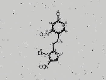 CCn1c([N+](=O)[O-])cnc1COc1ccc(Cl)cc1[N+](=O)[O-]